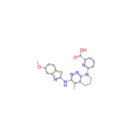 COc1ccc2sc(Nc3nnc4c(c3C)CCCN4c3cccc(C(=O)O)n3)nc2c1